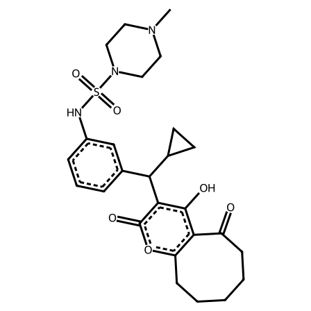 CN1CCN(S(=O)(=O)Nc2cccc(C(c3c(O)c4c(oc3=O)CCCCCC4=O)C3CC3)c2)CC1